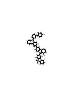 Cc1ccc(-c2cccc(-n3c4ccccc4c4cc(-c5ccc6c(c5)c5c(n6-c6ccc7c(c6)-c6ccccc6C7(C)C)C(C)CC=C5)ccc43)c2)cc1